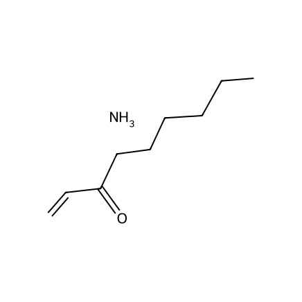 C=CC(=O)CCCCCC.N